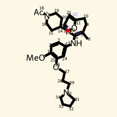 COc1ccc(NC2=C(\C)CC/C(OCC3CCN(C(C)=O)CC3)=C/C=N\2)cc1OCCCN1CCCC1